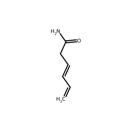 C=C/C=C/CC(N)=O